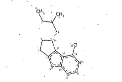 CCC(C)C[C@H]1CCc2sc3ncnc(Cl)c3c21